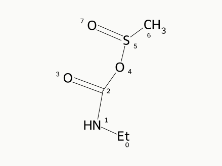 CCNC(=O)OS(C)=O